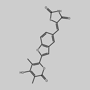 Cc1c(-c2cc3cc(/C=C4\SC(=O)NC4=O)ccc3o2)oc(=O)c(C)c1O